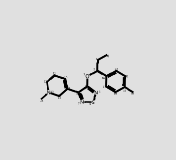 CCC(Oc1nsnc1C1=CCCN(C)C1)c1ccc(C)cc1